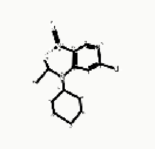 CC(C)N(c1cc(Cl)ncc1[N+](=O)[O-])C1CCCCC1